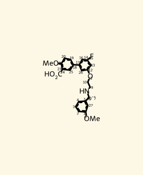 COc1cccc([C@@H](C)NCCOc2cc(F)cc(-c3ccc(OC)c(C(=O)O)c3)c2)c1